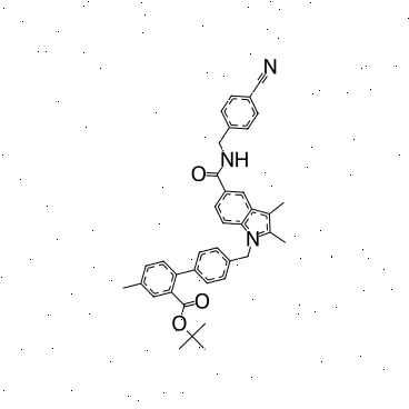 Cc1ccc(-c2ccc(Cn3c(C)c(C)c4cc(C(=O)NCc5ccc(C#N)cc5)ccc43)cc2)c(C(=O)OC(C)(C)C)c1